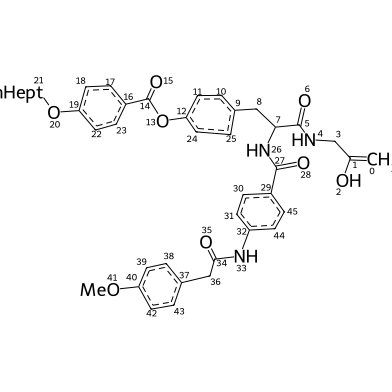 C=C(O)CNC(=O)C(Cc1ccc(OC(=O)c2ccc(OCCCCCCC)cc2)cc1)NC(=O)c1ccc(NC(=O)Cc2ccc(OC)cc2)cc1